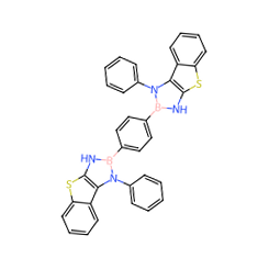 c1ccc(N2B(c3ccc(B4Nc5sc6ccccc6c5N4c4ccccc4)cc3)Nc3sc4ccccc4c32)cc1